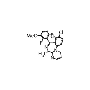 COc1ccc(F)c(C2=NC(C)C3=NC=CCN3c3ccc(Cl)c(Cl)c32)c1F